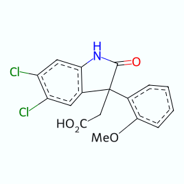 COc1ccccc1C1(CC(=O)O)C(=O)Nc2cc(Cl)c(Cl)cc21